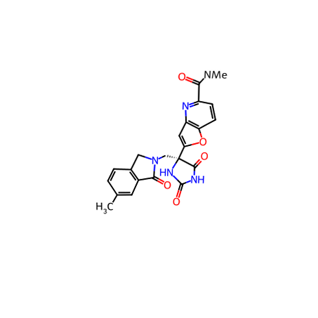 CNC(=O)c1ccc2oc([C@]3(CN4Cc5ccc(C)cc5C4=O)NC(=O)NC3=O)cc2n1